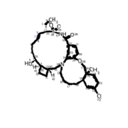 CC[C@H]1/C=C/CC[C@H](O)[C@@H]2CC[C@H]2CN2CCCCC3C=C(Cl)C=CC3(C)COc3ccc(cc32)C(=O)NS1(=O)=O